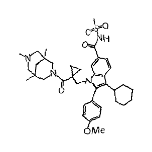 COc1ccc(-c2c(C3CCCCC3)c3ccc(C(=O)NS(C)(=O)=O)cc3n2CC2(C(=O)N3CC4(C)CN(C)CC(C)(C3)C4)CC2)cc1